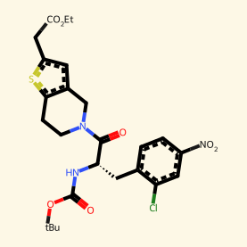 CCOC(=O)Cc1cc2c(s1)CCN(C(=O)[C@H](Cc1ccc([N+](=O)[O-])cc1Cl)NC(=O)OC(C)(C)C)C2